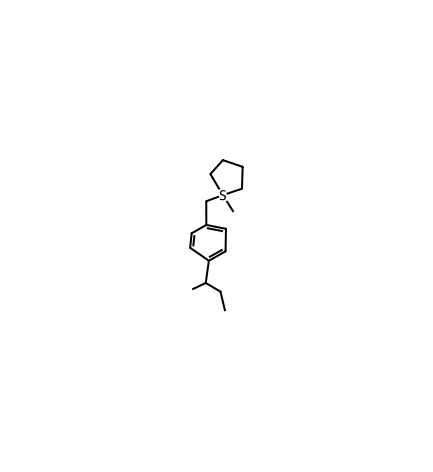 CCC(C)c1ccc(CS2(C)CCCC2)cc1